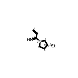 C=CC(=N)N1CC[C@@H](CC)C1